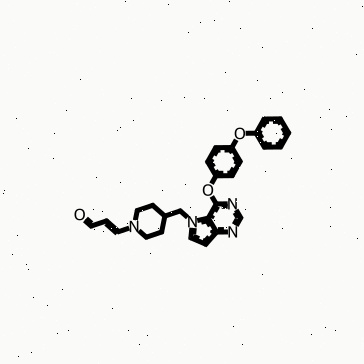 O=CC=CN1CCC(Cn2ccc3ncnc(Oc4ccc(Oc5ccccc5)cc4)c32)CC1